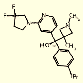 CC(C)c1ccc([C@](O)(c2ccnc(N3CCC(F)(F)C3)c2)C2(C)CN(C)C2)cc1